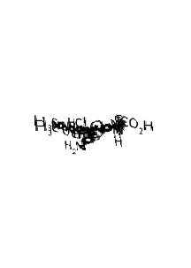 Cc1cc(C(=O)NC2CCC(N(C)C)CC2)ccc1-c1ccc(C[C@H](NC(=O)[C@H]2CC[C@H](CN)CC2)C(=O)Nc2ccc(-c3nc(C(F)(F)C(F)(F)C(=O)O)n[nH]3)cc2)cc1.Cl